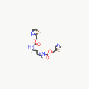 C[C@@H](CC[C@H](C)NC(=O)OCc1nccs1)NC(=O)OCc1cncs1